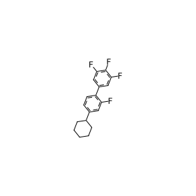 Fc1cc(C2CCCCC2)ccc1-c1cc(F)c(F)c(F)c1